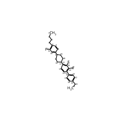 CCCCc1ccc(C2CCC(c3ccc(-c4ccc(CC)cc4)c(F)c3F)CC2)cc1F